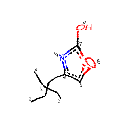 CC(C)(C)c1coc(O)n1